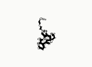 COCCOCCn1cc(NC(=O)c2ncccc2-c2ccoc2)c(-c2ccccn2)n1